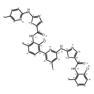 Cc1ccc(Nc2ncc(C(=O)Nc3c(C)ccc(-c4cc(C)cc(Nc5ncc(C(=O)Nc6c(C)cccc6Cl)s5)n4)c3Cl)s2)nc1